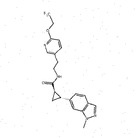 Cn1ncc2ccc([C@@H]3C[C@H]3C(=O)NCCc3ccc(OCC(F)(F)F)nc3)cc21